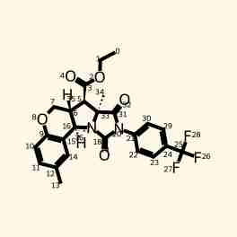 CCOC(=O)[C@@H]1[C@H]2COc3ccc(C)cc3[C@@H]2N2C(=O)N(c3ccc(C(F)(F)F)cc3)C(=O)[C@]12C